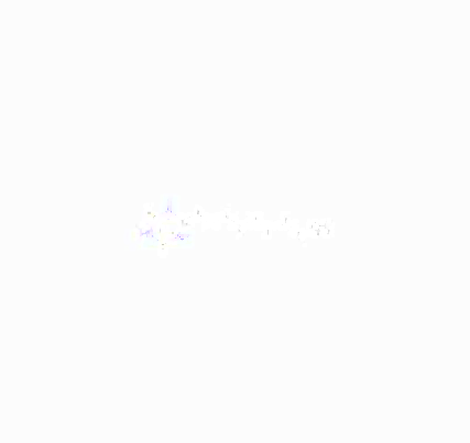 CCCCCCCCCC1NCNCN1